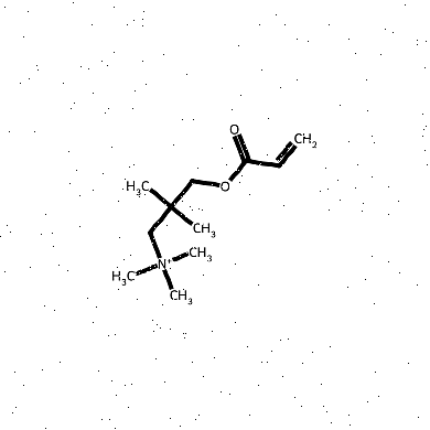 C=CC(=O)OCC(C)(C)C[N+](C)(C)C